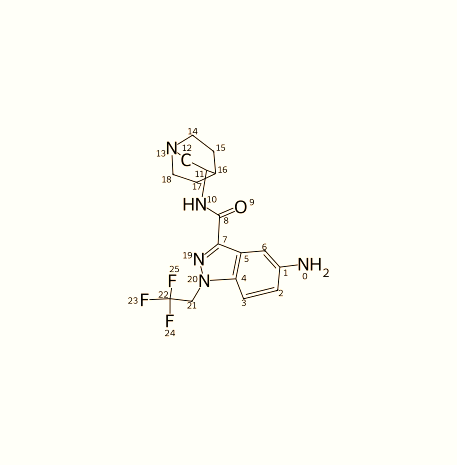 Nc1ccc2c(c1)c(C(=O)NC1CN3CCC1CC3)nn2CC(F)(F)F